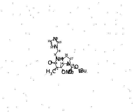 CO[C@H]([C@@H](C)C(=O)NCCn1ccnc1)[C@@H]1CCCN1C(=O)OC(C)(C)C